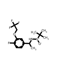 CC(N[S+]([O-])C(C)(C)C)c1ccc(F)c(OCC(F)(F)F)c1